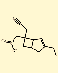 CCC1=CC2C(C1)CC2(CC#N)C[N+](=O)[O-]